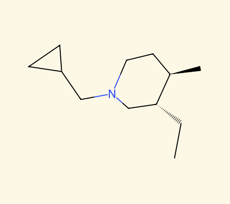 CC[C@@H]1CN(CC2CC2)CC[C@H]1C